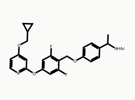 CC(=O)NC(C)c1ccc(OCc2c(F)cc(Oc3cc(OCC4CC4)ccn3)cc2F)cc1